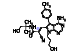 Cc1ccc(-c2c(/C=C(\C#N)C(=O)NC(C)(C)CO)n(CCCO)c3ncnc(N)c23)cc1